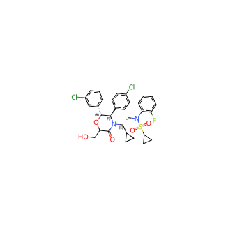 O=C1C(CO)O[C@H](c2cccc(Cl)c2)[C@@H](c2ccc(Cl)cc2)N1[C@H](CN(c1ccccc1F)S(=O)(=O)C1CC1)C1CC1